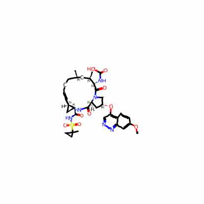 COc1ccc2c(O[C@@H]3C[C@H]4C(=O)N[C@]5(C(=O)NS(=O)(=O)C6(C)CC6)C[C@H]5C=CCC[C@@H](C)C[C@@H](C)[C@H](NC(=O)O)C(=O)N4C3)cnnc2c1